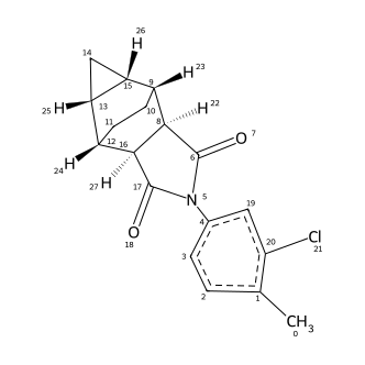 Cc1ccc(N2C(=O)[C@@H]3[C@@H]4CC[C@@H]([C@@H]5C[C@@H]54)[C@@H]3C2=O)cc1Cl